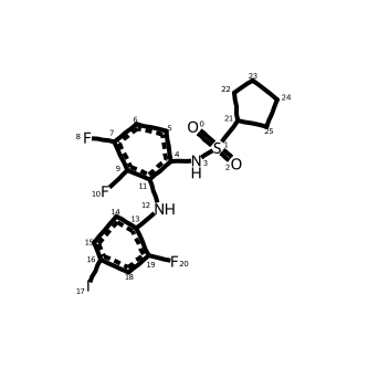 O=S(=O)(Nc1ccc(F)c(F)c1Nc1ccc(I)cc1F)C1CCCC1